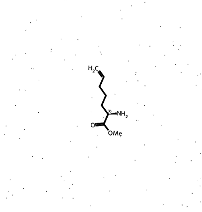 C=CCCC[C@@H](N)C(=O)OC